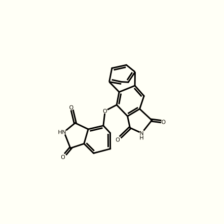 O=C1NC(=O)c2c(Oc3c4c(cc5c6ccc(cc6)c35)C(=O)NC4=O)cccc21